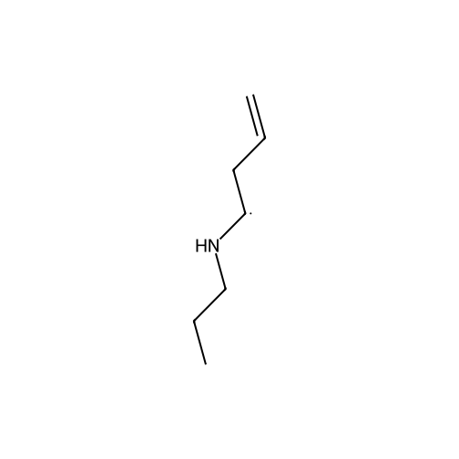 C=CC[CH]NCCC